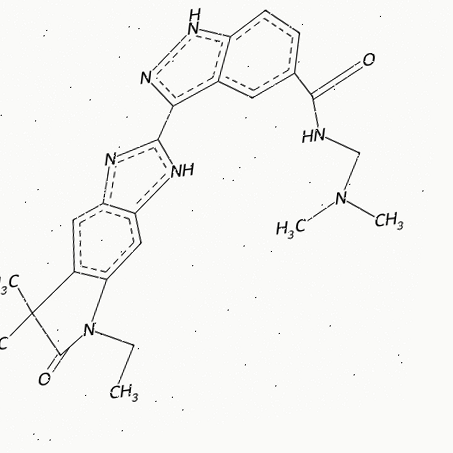 CCN1C(=O)C(C)(C)c2cc3nc(-c4n[nH]c5ccc(C(=O)NCN(C)C)cc45)[nH]c3cc21